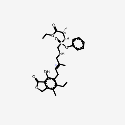 CCOC(=O)[C@H](C)NP(=O)(CNC/C(C)=C/Cc1c(O)c2c(c(C)c1CC)COC2=O)Oc1ccccc1